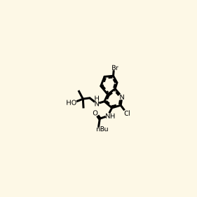 CCCCC(=O)Nc1c(Cl)nc2cc(Br)ccc2c1NCC(C)(C)O